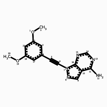 COc1cc(C#Cn2ncc3c(N)ncnc32)cc(OC)c1